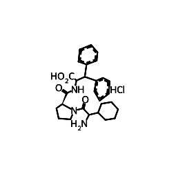 Cl.NC(C(=O)N1CCC[C@H]1C(=O)NC(C(=O)O)C(c1ccccc1)c1ccccc1)C1CCCCC1